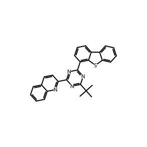 CC(C)(C)c1nc(-c2ccc3ccccc3n2)nc(-c2cccc3c2sc2ccccc23)n1